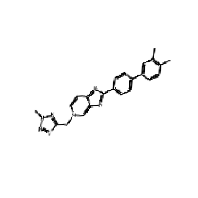 Cc1ccc(-c2ccc(-c3nc4ccn(Cc5nnn(C)n5)cc-4n3)cc2)cc1C